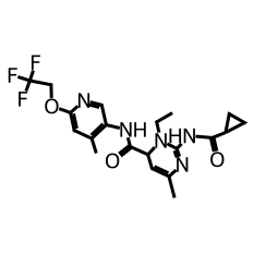 CCN1C(NC(=O)C2CC2)=NC(C)=CC1C(=O)Nc1cnc(OCC(F)(F)F)cc1C